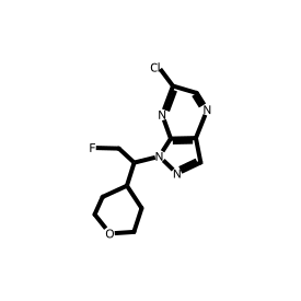 FCC(C1CCOCC1)n1ncc2ncc(Cl)nc21